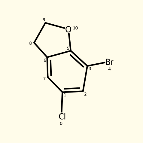 Clc1cc(Br)c2c(c1)CCO2